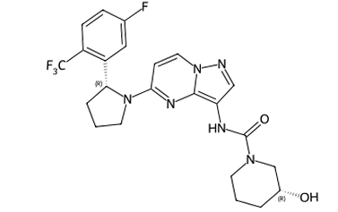 O=C(Nc1cnn2ccc(N3CCC[C@@H]3c3cc(F)ccc3C(F)(F)F)nc12)N1CCC[C@@H](O)C1